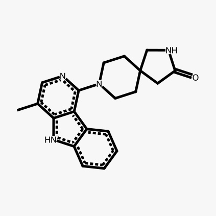 Cc1cnc(N2CCC3(CC2)CNC(=O)C3)c2c1[nH]c1ccccc12